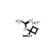 CNC1(OC(N)=O)CCC1.Cl